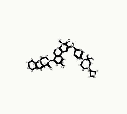 CCc1c(-c2cc(Nc3ccc(N4CCN(C5COC5)CC4(C)C)cn3)c(=O)n(C)c2)cc(F)cc1N1CCn2c(cc3c2CCCC3)C1=O